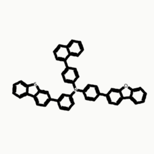 c1cc(-c2ccc3c(c2)sc2ccccc23)cc(N(c2ccc(-c3ccc4c(c3)oc3ccccc34)cc2)c2ccc(-c3cccc4ccccc34)cc2)c1